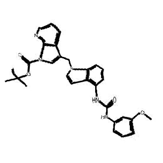 COc1cccc(NC(=O)Nc2cccc3c2ccn3Cc2cn(C(=O)OC(C)(C)C)c3ncccc23)c1